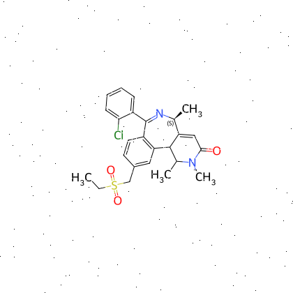 CCS(=O)(=O)Cc1ccc2c(c1)C1C(=CC(=O)N(C)C1C)[C@H](C)N=C2c1ccccc1Cl